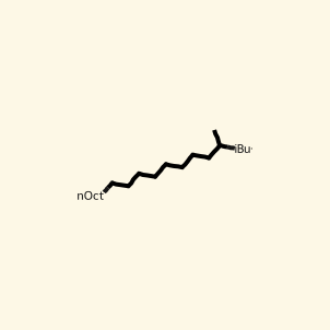 CCCCCCCCCCCCCCCCC(C)[C](C)CC